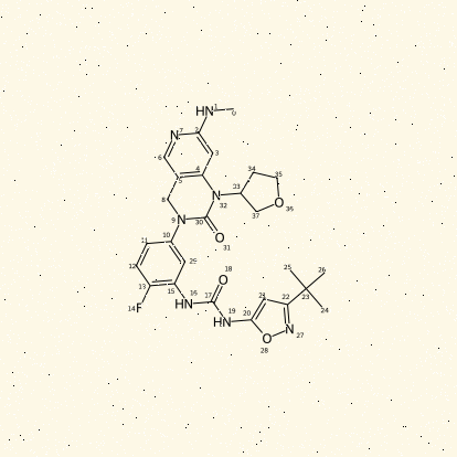 CNc1cc2c(cn1)CN(c1ccc(F)c(NC(=O)Nc3cc(C(C)(C)C)no3)c1)C(=O)N2C1CCOC1